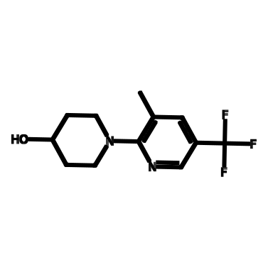 Cc1cc(C(F)(F)F)cnc1N1CCC(O)CC1